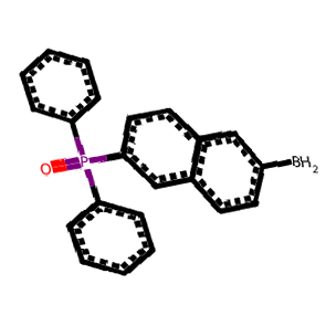 Bc1ccc2cc(P(=O)(c3ccccc3)c3ccccc3)ccc2c1